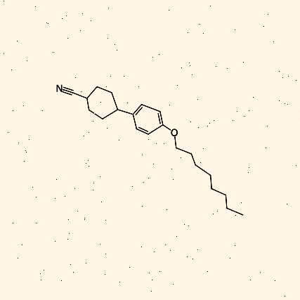 CCCCCCCCOc1ccc(C2CCC(C#N)CC2)cc1